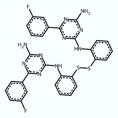 Nc1nc(Nc2ccccc2SSc2ccccc2Nc2nc(N)nc(-c3cccc(F)c3)n2)nc(-c2cccc(F)c2)n1